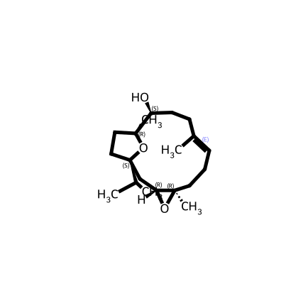 C/C1=C\CC[C@@]2(C)O[C@@H]2C[C@]2(C(C)C)CC[C@@](C)(O2)[C@@H](O)CC1